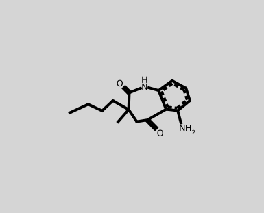 CCCCC1(C)CC(=O)c2c(N)cccc2NC1=O